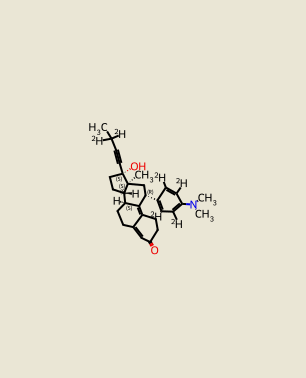 [2H]c1c([2H])c(N(C)C)c([2H])c([2H])c1[C@H]1C[C@@]2(C)[C@@H](CC[C@@]2(O)C#CC([2H])([2H])C)[C@@H]2CCC3=CC(=O)CCC3=C21